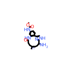 COC(=O)Nc1ccc2c(c1)NC(=O)CC/C(C)=C\C[C@H](N)c1nc-2c[nH]1